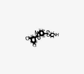 O=C(OC1CCNCC1)c1ccc2nc(-c3cc(Cl)cc(Cl)c3)oc2c1